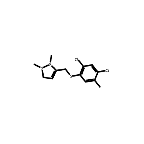 Cc1cc(SCC2=CCN(C)N2C)c(Cl)cc1Cl